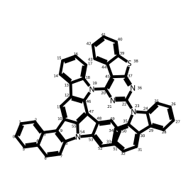 c1ccc2c(c1)ccc1c2c2cc3c4ccccc4n(-c4nc(-n5c6ccccc6c6ccccc65)nc5sc6ccccc6c45)c3c3c4ccccc4n1c23